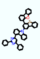 c1ccc(-c2cc(-c3cccc4c3c3ccccc3n4-c3cc(-c4cccc5c4oc4ccccc45)c4sc5ccccc5c4c3)nc(-c3ccccc3)n2)cc1